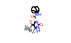 COC(=O)c1c(SCC(=O)NC23CC4CC(CC(C4)C2)C3)nc(=O)[nH]c1C